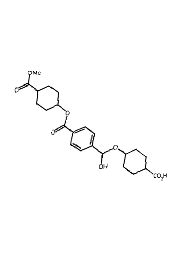 COC(=O)C1CCC(OC(=O)c2ccc(C(O)OC3CCC(C(=O)O)CC3)cc2)CC1